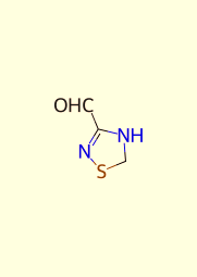 O=CC1=NSCN1